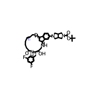 CC(C)(C)OC(=O)N1CC2CN(c3ccc4c(c3)[C@@H]3C[C@H]4OC/C=C/CCCC(=O)N[C@@H](Cc4cc(F)cc(F)c4)[C@H](O)CN3)CC2C1